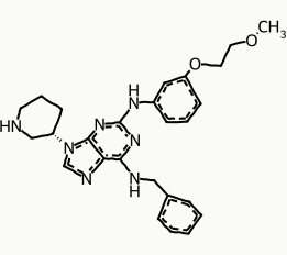 COCCOc1cccc(Nc2nc(NCc3ccccc3)c3ncn([C@H]4CCCNC4)c3n2)c1